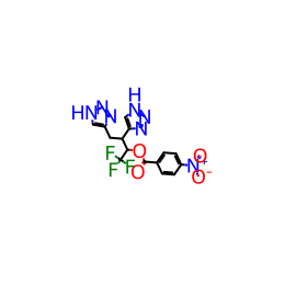 O=C(OC(C(Cc1c[nH]nn1)c1c[nH]nn1)C(F)(F)F)c1ccc([N+](=O)[O-])cc1